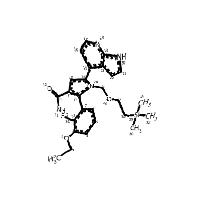 CCOc1cccc(-c2c(C(N)=O)cc(-c3ccnc4[nH]ccc34)n2COCC[Si](C)(C)C)c1F